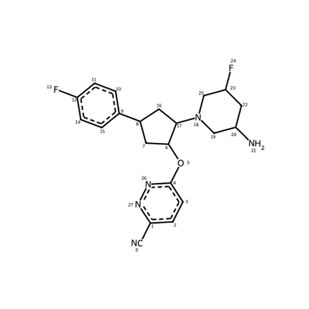 N#Cc1ccc(OC2CC(c3ccc(F)cc3)CC2N2CC(N)CC(F)C2)nn1